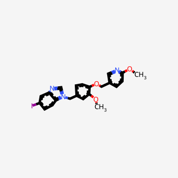 COc1ccc(COc2ccc(Cn3cnc4cc(I)ccc43)cc2OC)cn1